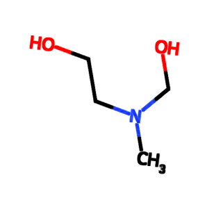 CN(CO)CCO